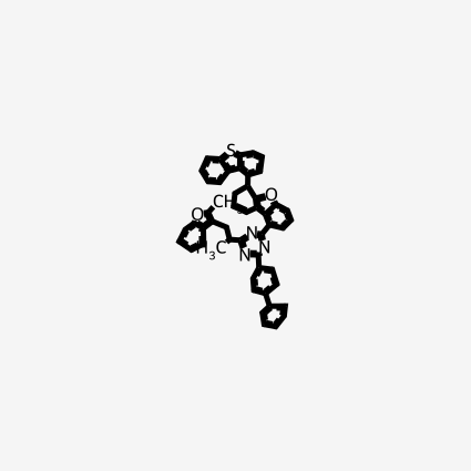 Cc1oc2ccccc2c1CC(C)c1nc(-c2ccc(-c3ccccc3)cc2)nc(-c2cccc3oc4c(c23)C=CCC4c2cccc3sc4ccccc4c23)n1